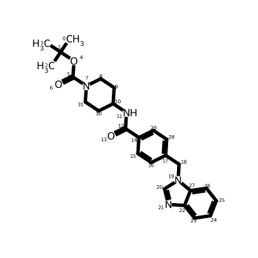 CC(C)(C)OC(=O)N1CCC(NC(=O)c2ccc(Cn3cnc4ccccc43)cc2)CC1